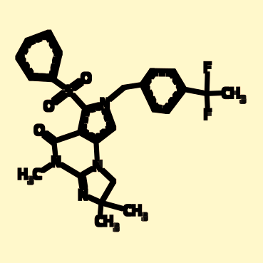 CN1C(=O)c2c(cn(Cc3ccc(C(C)(F)F)cc3)c2S(=O)(=O)c2ccccc2)N2CC(C)(C)N=C12